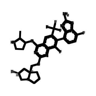 CC1NCCC1Oc1nc(OC[C@@]23CCCN2C[C@H](F)C3)nc2c(F)c(-c3ccc(F)c4sc(N)nc34)c(C(F)(F)F)cc12